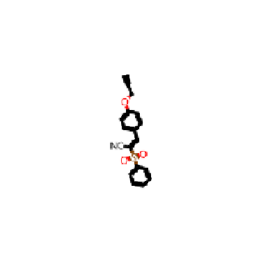 C#CCOc1ccc(/C=C(\C#N)S(=O)(=O)c2ccccc2)cc1